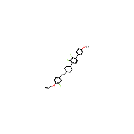 C=CCOc1ccc(CCC2CCC(c3ccc(-c4ccc(OCC)cc4)c(F)c3F)CC2)cc1F